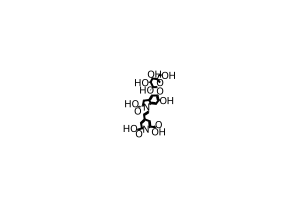 O=C(O)c1cc(/C=C/N2c3cc(O)c(O[C@@H]4O[C@H](CO)[C@@H](O)[C@H](O)[C@H]4O)cc3C[C@H]2C(=O)O)cc(C(=O)O)n1